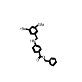 CC(C)(C)c1cc(CNc2ccc(C(=O)OCc3ccccc3)cc2)cc(C(C)(C)C)c1